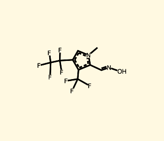 Cn1cc(C(F)(F)C(F)(F)F)c(C(F)(F)F)c1C=NO